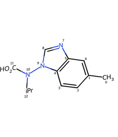 Cc1ccc2c(c1)ncn2N(C(=O)O)C(C)C